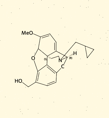 COC1=CC=C2[C@H]3Cc4ccc(CO)c5c4[C@@]2(CCN3CC2CC2)C1O5